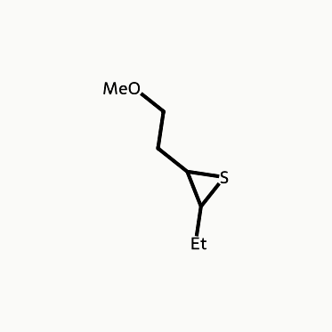 CCC1SC1CCOC